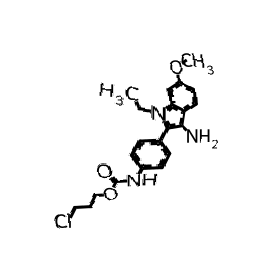 CCn1c(-c2ccc(NC(=O)OCCCCl)cc2)c(N)c2ccc(OC)cc21